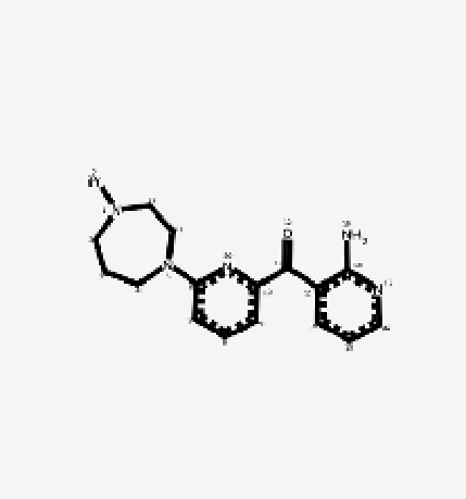 CC(C)N1CCCN(c2cccc(C(=O)c3cccnc3N)n2)CC1